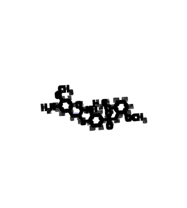 COc1ccc(/C=C2/Sc3ccc(S(=O)(=O)Cc4c(OC)cccc4OC)cc3NC2=O)cc1N